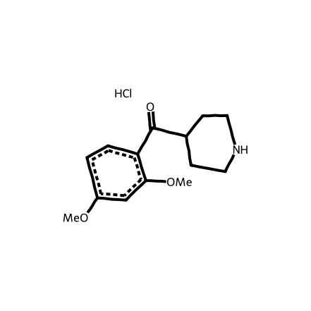 COc1ccc(C(=O)C2CCNCC2)c(OC)c1.Cl